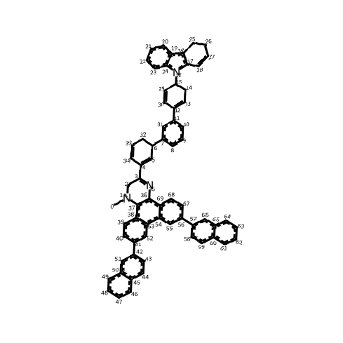 CN1CC(C2=CC(c3cccc(C4=CCC(n5c6c(c7ccccc75)CCC=C6)C=C4)c3)CC=C2)=Nc2c1c1ccc(-c3ccc4ccccc4c3)cc1c1cc(-c3ccc4ccccc4c3)ccc21